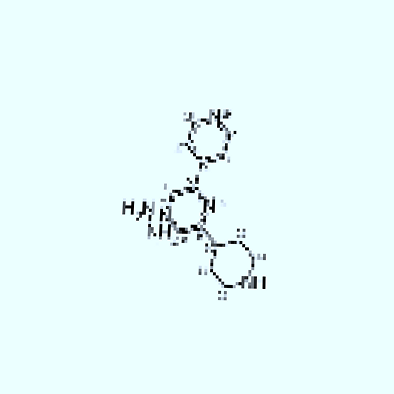 NN.c1cc(-c2cncc(C3CCNCC3)n2)ccn1